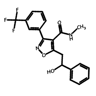 CNC(=O)c1c(-c2cccc(C(F)(F)F)c2)noc1CC(O)c1ccccc1